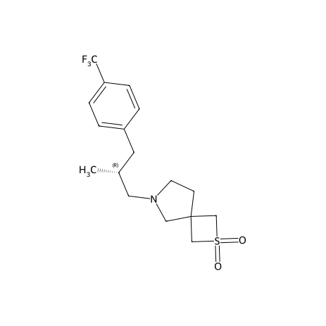 C[C@H](Cc1ccc(C(F)(F)F)cc1)CN1CCC2(C1)CS(=O)(=O)C2